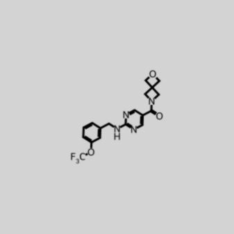 O=C(c1cnc(NCc2cccc(OC(F)(F)F)c2)nc1)N1CC2(COC2)C1